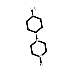 C[C@H]1CC[C@@H](N2CC[S+]([O-])CC2)CC1